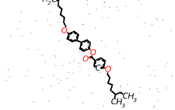 C=CCCCCCCOc1ccc(-c2ccc(OC(=O)c3ccc(OCCCCCC(C)CC)cc3)cc2)cc1